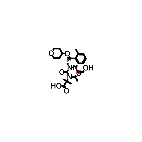 CC(=O)N(C(=O)N(C[C@H](OC1CCOCC1)c1ccccc1C)N(C)/C=C\O)C(C)(C)C(=O)O